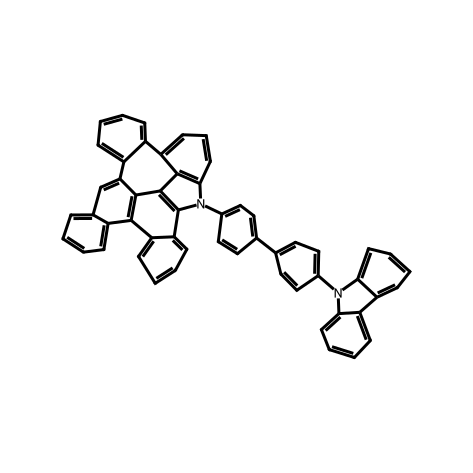 c1ccc2c(c1)-c1cc3ccccc3c3c4ccccc4c4c(c13)c1c-2cccc1n4-c1ccc(-c2ccc(-n3c4ccccc4c4ccccc43)cc2)cc1